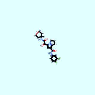 CC1(NC(=O)C(=O)c2cc(C(=O)Nc3ccc(F)c(F)c3)c3n2CCC3)CCOCC1